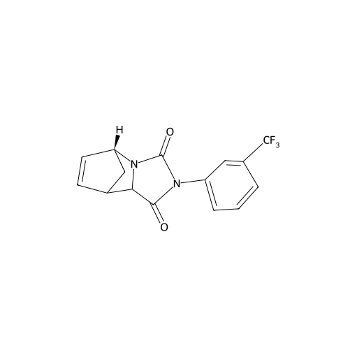 O=C1C2C3C=C[C@@H](C3)N2C(=O)N1c1cccc(C(F)(F)F)c1